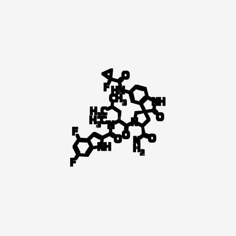 CC(C)C[C@@H](C(=O)N1C[C@]2(C[C@H]1C(N)=O)C(=O)Nc1ccc(NC(=O)C3(F)CC3)cc12)N(C)C(=O)c1cc2c(F)cc(F)cc2[nH]1